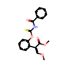 COC=C(C(=O)OC)c1ccccc1OC(=S)NC(=O)c1ccccc1